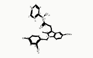 COc1ccc2c(c1)c(CC(=O)[NH+]([O-])c1ccncn1)c(C)n2Cc1ccc(Cl)cc1Cl